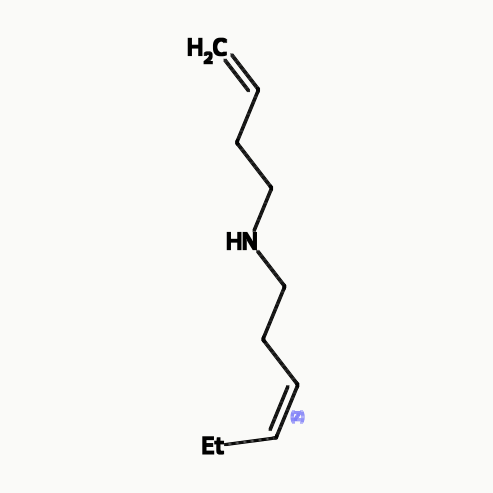 C=CCCNCC/C=C\CC